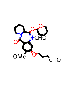 COc1cc2c(cc1OCCCC=O)N(C=O)C(OC1CCCCO1)C1CCCCN1C2=O